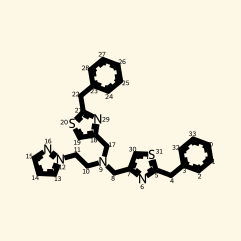 c1ccc(Cc2nc(CN(CCn3cccn3)Cc3csc(Cc4ccccc4)n3)cs2)cc1